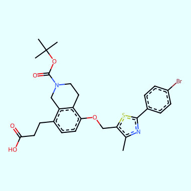 Cc1nc(-c2ccc(Br)cc2)sc1COc1ccc(CCC(=O)O)c2c1CCN(C(=O)OC(C)(C)C)C2